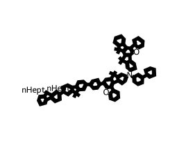 CCCCCCCC1(CCCCCCC)c2ccccc2-c2ccc(-c3ccc4c(c3)C(C)(C)c3cc(-c5ccc(-c6cc7c(c8c6oc6ccccc68)-c6ccc(N(c8cccc(-c9ccccc9)c8)c8ccc9c(c8)C(C)(C)c8c%10c(c%11c(oc%12ccccc%12%11)c8-9)-c8ccccc8C%10(C)C)cc6C7(C)C)cc5)ccc3-4)cc21